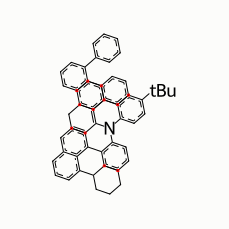 CC(C)(C)c1ccc(N(C2=C(c3ccccc3-c3ccccc3-c3ccccc3)CCC=C2)c2ccccc2-c2cccc3cccc(C4CCCCC4)c23)c(-c2ccccc2)c1